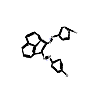 Brc1ccc(/N=N/C2=C(/N=N/c3ccc(Br)cc3)c3cccc4cccc2c34)cc1